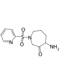 NC1CCCN(S(=O)(=O)c2ccccn2)CC1=O